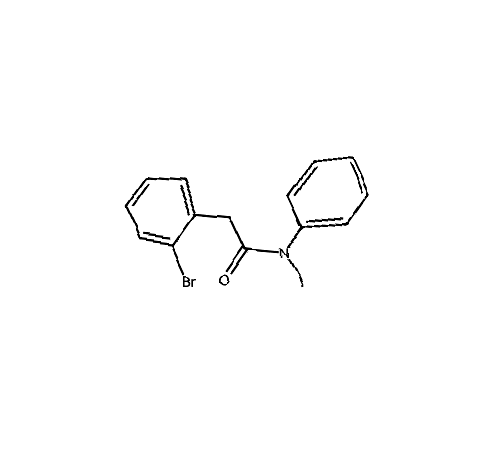 CN(C(=O)Cc1ccccc1Br)c1ccccc1